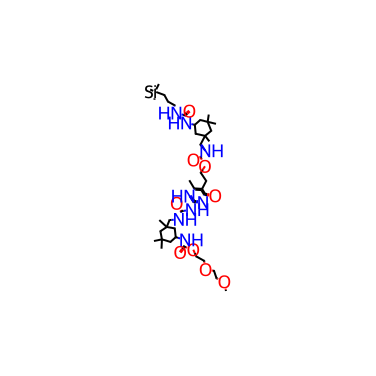 COCCOCCOC(=O)NC1CC(C)(C)CC(C)(CNC(=O)Nc2nc(=O)c(CCOC(=O)NCC3(C)CC(NC(=O)NCCC[Si](C)(C)C)CC(C)(C)C3)c(C)[nH]2)C1